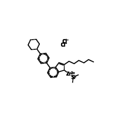 CCCCCCC1=Cc2c(-c3ccc(C4CCCCC4)cc3)cccc2[CH]1[Zr+2][Si](C)C.[Cl-].[Cl-]